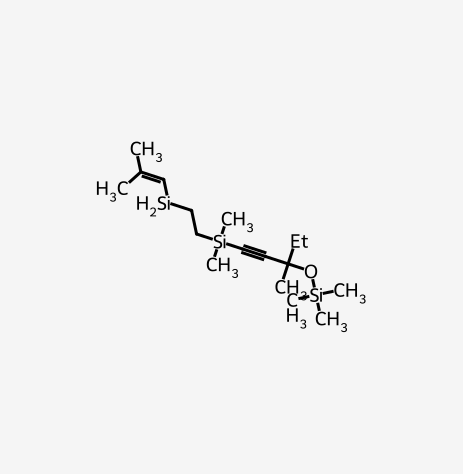 CCC(C)(C#C[Si](C)(C)CC[SiH2]C=C(C)C)O[Si](C)(C)C